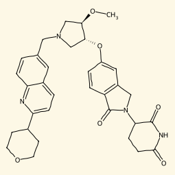 CO[C@@H]1CN(Cc2ccc3nc(C4CCOCC4)ccc3c2)C[C@H]1Oc1ccc2c(c1)CN(C1CCC(=O)NC1=O)C2=O